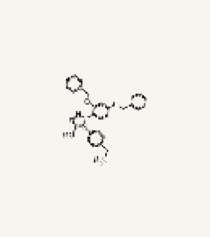 CCc1ccc(-n2c(O)nnc2-c2ccc(OCc3ccccc3)cc2OCc2ccccc2)cc1